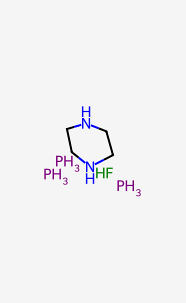 C1CNCCN1.F.P.P.P